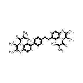 C=C(C)C(=O)OC(C)=C(C)Oc1ccc(CCc2ccc(-c3ccc(OC(C)=C(C)OC(=O)C(=C)C)cc3)cc2)cc1